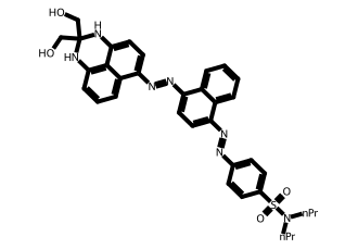 CCCN(CCC)S(=O)(=O)c1ccc(N=Nc2ccc(N=Nc3ccc4c5c(cccc35)NC(CO)(CO)N4)c3ccccc23)cc1